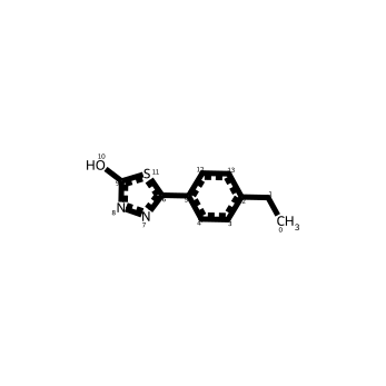 CCc1ccc(-c2nnc(O)s2)cc1